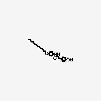 CCCCCCCCCCCCOc1ccc(NC(=O)C=Cc2ccc(O)cc2)cc1